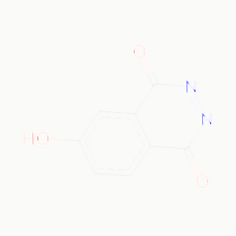 O=C1N=NC(=O)c2cc(O)ccc21